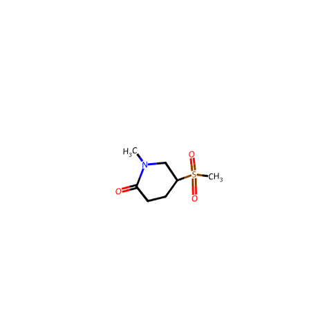 CN1CC(S(C)(=O)=O)CCC1=O